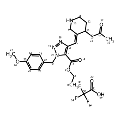 CCOC(=O)c1c(/C=C2\CNCCC2SC(C)=O)nnn1Cc1ccc(OC)cc1.O=C(O)C(F)(F)F